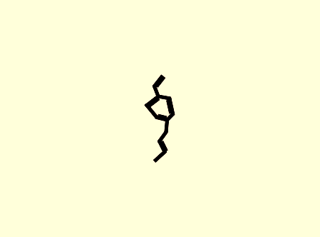 C=Cc1ccc(CC=CC)cc1